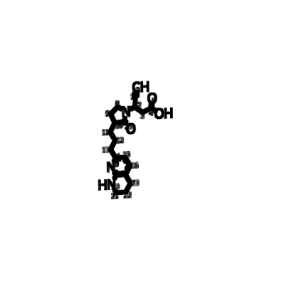 C#CC(CC(=O)O)N1CCC(CCCc2ccc3c(n2)NCCC3)C1=O